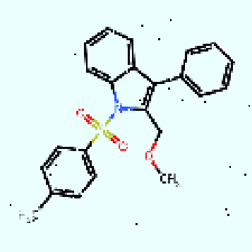 COCc1c(-c2ccccc2)c2ccccc2n1S(=O)(=O)c1ccc(C)cc1